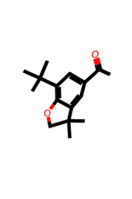 CC(=O)c1cc(C(C)(C)C)c2c(c1)C(C)(C)CO2